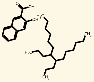 CCCCCCC(CCC)C(CCC)CCCCCC.O=C(O)c1cc2ccccc2cc1O